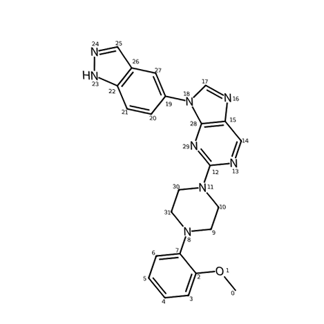 COc1ccccc1N1CCN(c2ncc3ncn(-c4ccc5[nH]ncc5c4)c3n2)CC1